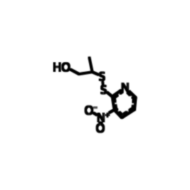 CC(CO)SSc1ncccc1[N+](=O)[O-]